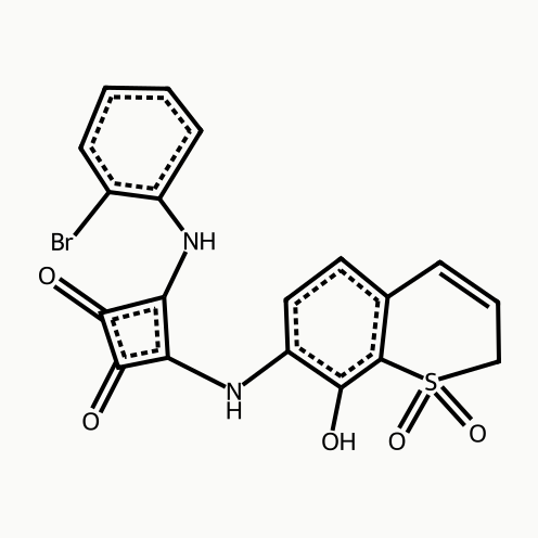 O=c1c(Nc2ccccc2Br)c(Nc2ccc3c(c2O)S(=O)(=O)CC=C3)c1=O